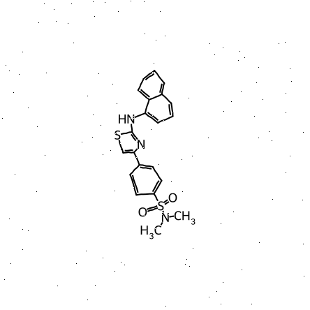 CN(C)S(=O)(=O)c1ccc(-c2csc(Nc3cccc4ccccc34)n2)cc1